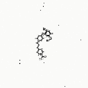 CCC(=O)N1CCC(CCCN2CCC(Cc3cc(OC(C)C)ccc3Br)CC2)CC1